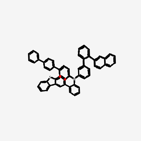 c1ccc(-c2ccc(-c3ccc(N(c4cccc(-c5ccccc5-c5ccc6ccccc6c5)c4)c4ccccc4-c4ccc5sc6ccccc6c5c4)cc3)cc2)cc1